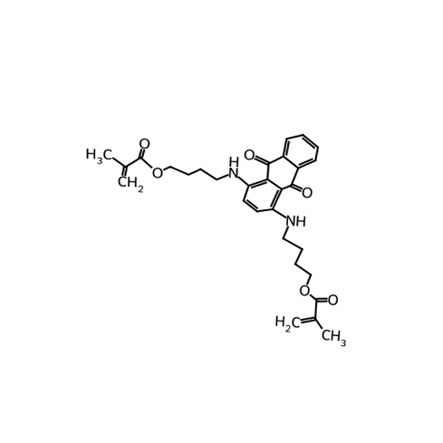 C=C(C)C(=O)OCCCCNc1ccc(NCCCCOC(=O)C(=C)C)c2c1C(=O)c1ccccc1C2=O